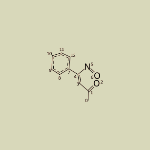 CC(=O)/C=C(\N=O)c1ccccc1